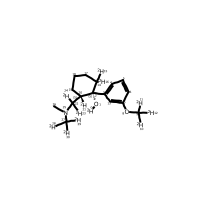 [2H]O[C@@]1(c2cccc(OC([2H])([2H])[2H])c2)C([2H])([2H])CCC[C@@]1([2H])C([2H])([2H])N(C)C([2H])([2H])[2H]